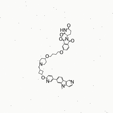 Cn1c2ccncc2c2ccc(-c3ccc(O[C@H]4C[C@H](CN5CCC(OCCCCOc6ccc7c(c6)C(=O)N(C6CCC(=O)NC6=O)C7=O)CC5)C4)nc3)cc21